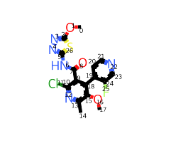 COc1nnc(NC(=O)c2c(Cl)nc(C)c(OC)c2-c2ccncc2F)s1